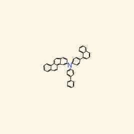 c1ccc(-c2ccc(N(c3ccc(-c4cccc5ccccc45)cc3)c3ccc4ccc5c6ccccc6ccc5c4c3)cc2)cc1